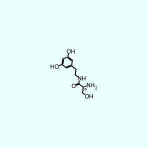 N[C@@H](CO)C(=O)NCCc1cc(O)cc(O)c1